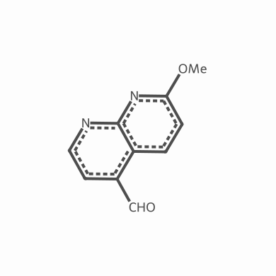 COc1ccc2c(C=O)ccnc2n1